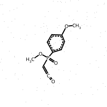 COc1ccc(P(=O)(C=C=O)OC)cc1